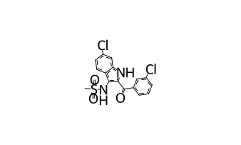 CS(=O)(=O)Nc1c(C(=O)c2cccc(Cl)c2)[nH]c2cc(Cl)ccc12